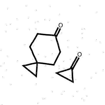 O=C1CC1.O=C1CCC2(CC1)CC2